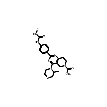 CCNC(=O)Nc1ccc(-c2nc3c(c(N4CCOCC4C)n2)CN(C(=O)OCC(C)C)CC3)cc1